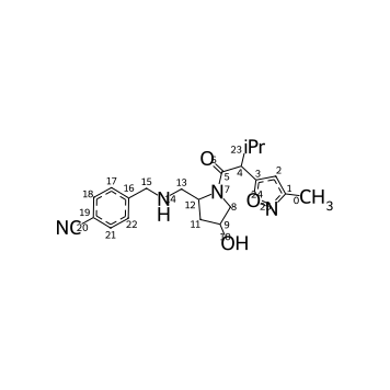 Cc1cc(C(C(=O)N2CC(O)CC2CNCc2ccc(C#N)cc2)C(C)C)on1